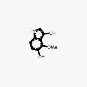 COc1c(O)ccc2[nH]cc(O)c12